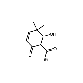 CC(C)C(=O)C1C(=O)C=CC(C)(C)C1O